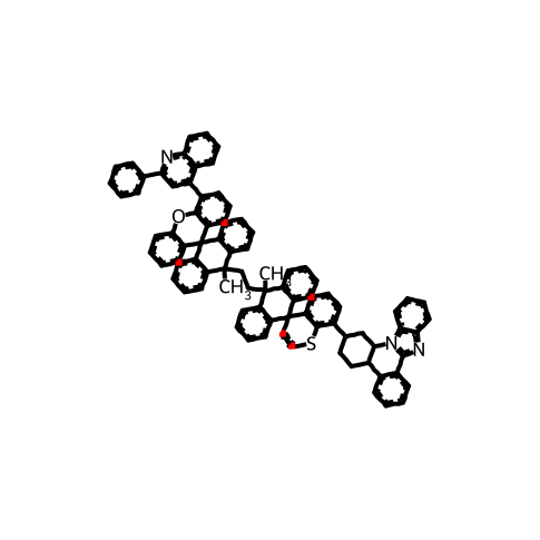 CC1(CCC2(C)c3ccccc3C3(c4ccccc4Sc4c(C5CCC6c7ccccc7-c7nc8ccccc8n7C6C5)cccc43)c3ccccc32)c2ccccc2C2(c3ccccc3Oc3c(-c4cc(-c5ccccc5)nc5ccccc45)cccc32)c2ccccc21